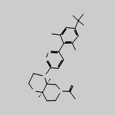 CC(=O)N1CC[C@@H]2OCCN(c3ccc(-c4c(C)cc(C(F)(F)F)cc4O)nn3)[C@@H]2C1